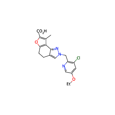 CCOc1cnc(Cn2cc3c(n2)-c2c(oc(C(=O)O)c2C)CC3)c(Cl)c1